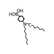 CCCCCCCCN(CCCCCCCC)c1ccc(B(O)O)cc1